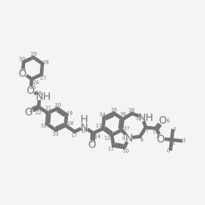 CC(C)(C)OC(=O)C1Cn2ccc3c(C(=O)NCc4ccc(C(=O)NOC5CCCCO5)cc4)ccc(c32)CN1